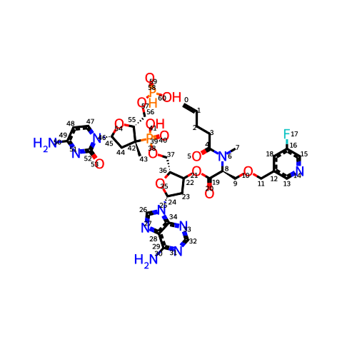 C=CCCC(=O)N(C)[C@@H](COCc1cncc(F)c1)C(=O)OC1C[C@H](n2cnc3c(N)ncnc32)O[C@@H]1COP(=O)(O)[C@]1(C)C[C@H](n2ccc(N)nc2=O)O[C@@H]1CO[PH](=O)O